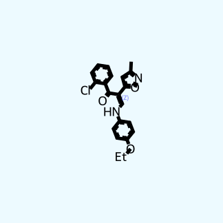 CCOc1ccc(N/C=C(\C(=O)c2ccccc2Cl)c2cc(C)no2)cc1